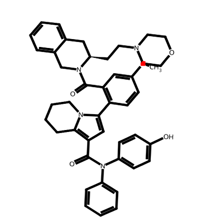 COc1ccc(-c2cc(C(=O)N(c3ccccc3)c3ccc(O)cc3)c3n2CCCC3)c(C(=O)N2Cc3ccccc3C[C@H]2CCN2CCOCC2)c1